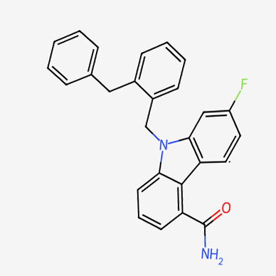 NC(=O)c1cccc2c1c1[c]cc(F)cc1n2Cc1ccccc1Cc1ccccc1